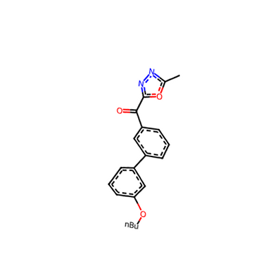 CCCCOc1cccc(-c2cccc(C(=O)c3nnc(C)o3)c2)c1